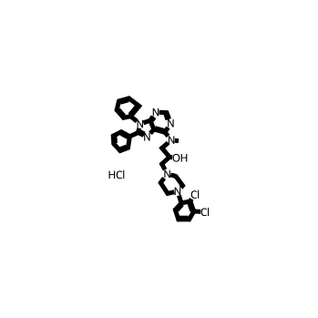 CN(CC(O)CN1CCN(c2cccc(Cl)c2Cl)CC1)c1ncnc2c1nc(-c1ccccc1)n2-c1ccccc1.Cl